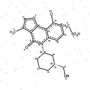 CS(=O)(=O)O.Cc1noc2c1c(=O)n([C@H]1CCC[C@@H](CO)C1)c1cccc(Cl)c21